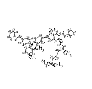 COc1cc(/C=C/c2ccccc2)c(OCCC(C)CCCC(C)C)cc1/C=C/c1ccc(N(c2ccc(/C=C/c3ccccc3)cc2)c2ccc(C)cc2C)cc1